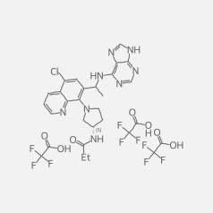 CCC(=O)N[C@H]1CCN(c2c(C(C)Nc3ncnc4[nH]cnc34)cc(Cl)c3cccnc23)C1.O=C(O)C(F)(F)F.O=C(O)C(F)(F)F.O=C(O)C(F)(F)F